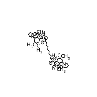 CC1(C)CC(N2CCCC2)=C(S(C)(=O)=O)/C(=C(\C#N)S(=O)(=O)CCCCCCCCS(=O)(=O)/C(C#N)=C2\CC(C)(C)CC(N3CCCC3)=C2S(C)(=O)=O)C1